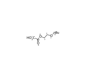 CCCCOCCOC(=O)C(=O)O